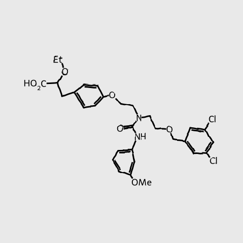 CCOC(Cc1ccc(OCCN(CCOCc2cc(Cl)cc(Cl)c2)C(=O)Nc2cccc(OC)c2)cc1)C(=O)O